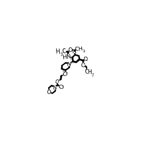 C=NC1CC(C(=O)OCC)=C[C@@H](N2CCC[C@H](OCCOC(=O)N3CCOCC3)C2)[C@@H]1NC(C)=O